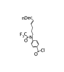 CCCCCCCCCCC=CCCCN(C(=O)C(F)(F)F)c1ccc(C(=O)Cl)cc1